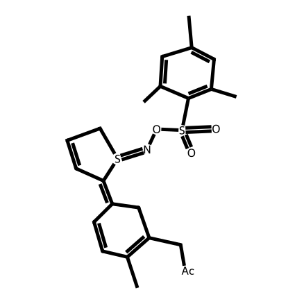 CC(=O)CC1=C(C)C=CC(=C2C=CCS2=NOS(=O)(=O)c2c(C)cc(C)cc2C)C1